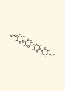 CCCC1CCC(c2ccc([C@H]3OC[C@H]([C@H]4CC[C@H](CCC)CC4)CO3)cc2)CC1